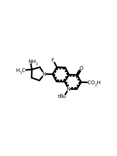 CC1(N)CCN(c2cc3c(cc2F)c(=O)c(C(=O)O)cn3C(C)(C)C)C1